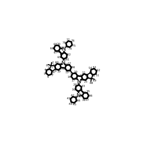 CC1(C)c2ccccc2-c2cc3c4cc(-c5ccc6c(c5)c5cc7c(cc5n6-c5ccc6c(c5)c5ccccc5n6-c5ccccc5)C(C)(C)c5ccccc5-7)ccc4n(-c4ccc5c(c4)c4ccccc4n5-c4ccccc4)c3cc21